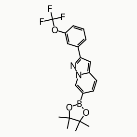 CC1(C)OB(c2ccc3cc(-c4cccc(OC(F)(F)F)c4)nn3c2)OC1(C)C